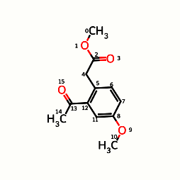 COC(=O)Cc1ccc(OC)cc1C(C)=O